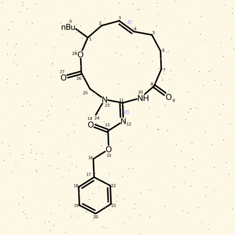 CCCCC1C/C=C/CCCC(=O)N/C(=N/C(=O)OCc2ccccc2)N(C)CC(=O)O1